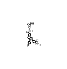 Nc1ccc(N2N=C3c4ccc(C(=O)NCCOCC(=O)O)cc4CC[C@@H]3[C@@H]2c2ccc(F)cc2)cc1Cl